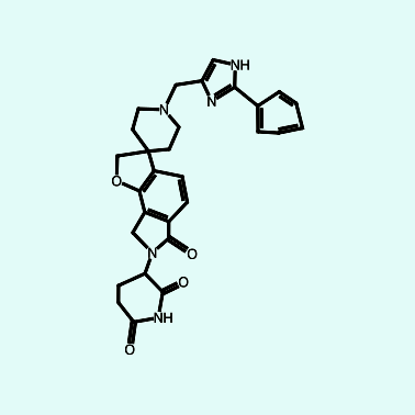 O=C1CCC(N2Cc3c(ccc4c3OCC43CCN(Cc4c[nH]c(-c5ccccc5)n4)CC3)C2=O)C(=O)N1